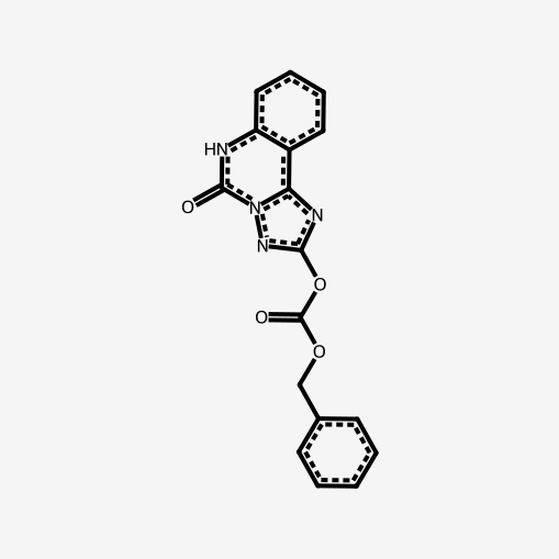 O=C(OCc1ccccc1)Oc1nc2c3ccccc3[nH]c(=O)n2n1